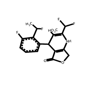 CC(F)c1c(F)cccc1C1C2=C(COC2=O)NC(C(F)F)=C1C(=O)O